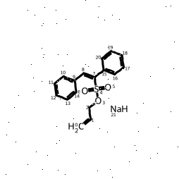 C=CCOS(=O)(=O)C(=Cc1ccccc1)c1ccccc1.[NaH]